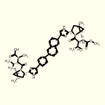 COC(=O)N[C@H](C(=O)N1[C@H](c2nc(-c3ccc4cc(-c5ccc(-c6c[nH]c([C@@H]7C[C@@]8(C)C[C@H]8N7C(=O)[C@H](C(C)C)N(C)C(=O)O)n6)cc5)ccc4c3)c[nH]2)C[C@@]2(C)C[C@@H]12)C(C)C